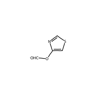 O=[C]Oc1cscn1